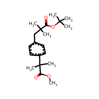 COC(=O)C(C)(C)c1ccc(CC(C)(C)C(=O)OC(C)(C)C)cc1